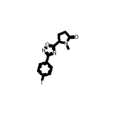 CN1C(=O)CCC1c1nc(-c2ccc(I)cc2)no1